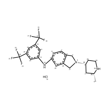 C[C@@H]1C[C@H](N2Cc3cnc(Nc4cc(C(F)(F)F)cc(C(F)(F)F)c4)nc3C2)CCN1.Cl